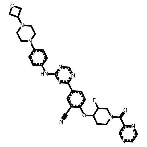 N#Cc1cc(-c2ncnc(Nc3ccc(N4CCN(C5COC5)CC4)cc3)n2)ccc1OC1CCN(C(=O)c2cnccn2)CC1F